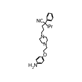 CC(C)C(C#N)(CCCN1CCN(CCOc2ccc(N)cc2)CC1)c1ccccc1